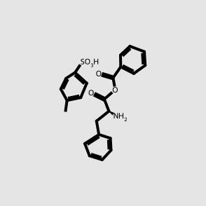 Cc1ccc(S(=O)(=O)O)cc1.N[C@@H](Cc1ccccc1)C(=O)OC(=O)c1ccccc1